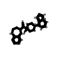 O=C(N1CCOc2ccncc2C1)C1(F)CCN(c2nccn3ncnc23)CC1